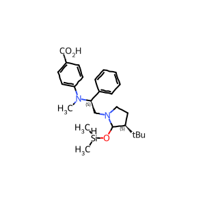 CN(c1ccc(C(=O)O)cc1)[C@H](CN1CC[C@@H](C(C)(C)C)C1O[SiH](C)C)c1ccccc1